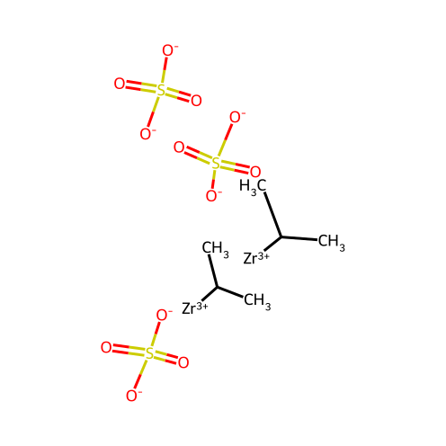 C[CH](C)[Zr+3].C[CH](C)[Zr+3].O=S(=O)([O-])[O-].O=S(=O)([O-])[O-].O=S(=O)([O-])[O-]